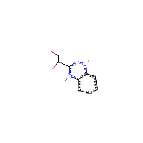 [O-][n+]1nc(C(O)CO)[n+]([O-])c2ccccc21